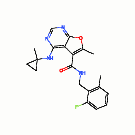 Cc1cccc(F)c1CNC(=O)c1c(C)oc2ncnc(NC3(C)CC3)c12